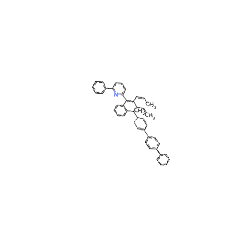 C=CCC(/C=C\C)=C(/c1cccc(-c2ccccc2)n1)c1ccccc1C(=C)C1C=CC(c2ccc(-c3ccccc3)cc2)=CC1